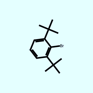 CC(C)(C)c1c[c]cc(C(C)(C)C)c1Br